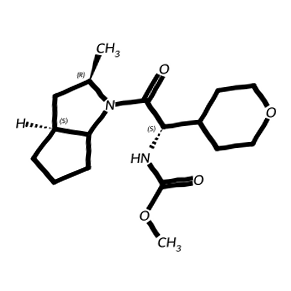 COC(=O)N[C@H](C(=O)N1C2CCC[C@H]2C[C@H]1C)C1CCOCC1